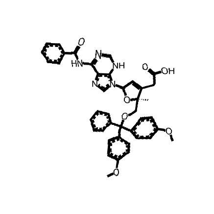 COc1ccc(C(OC[C@@]2(C)OC(n3cnc4c3NCN=C4NC(=O)c3ccccc3)C=C2CC(=O)O)(c2ccccc2)c2ccc(OC)cc2)cc1